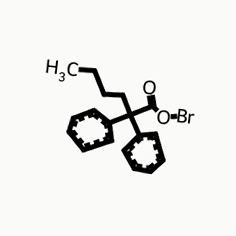 CCCCC(C(=O)OBr)(c1ccccc1)c1ccccc1